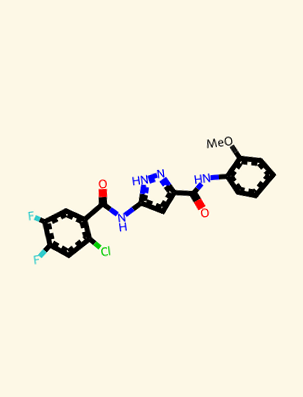 COc1ccccc1NC(=O)c1cc(NC(=O)c2cc(F)c(F)cc2Cl)[nH]n1